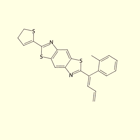 C=C/C=C(/c1nc2cc3sc(C4=CCCS4)nc3cc2s1)c1ccccc1C